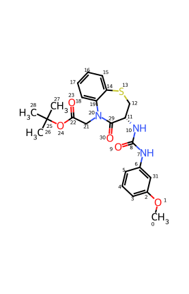 COc1cccc(NC(=O)N[C@H]2CSc3ccccc3N(CC(=O)OC(C)(C)C)C2=O)c1